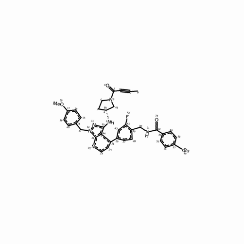 CC#CC(=O)N1CC[C@@H](Nc2nn(Cc3ccc(OC)cc3)c3nccc(-c4ccc(CNC(=O)c5ccc(C(C)(C)C)cc5)c(F)c4)c23)C1